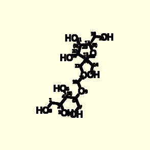 OCC(O)[C@H](O)C(CO)OCOC[C@]1(CO)O[C@H](CO)[C@H](O)C1O